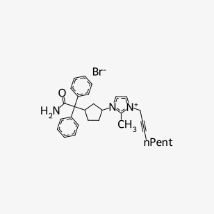 CCCCCC#CC[n+]1ccn(C2CCC(C(C(N)=O)(c3ccccc3)c3ccccc3)C2)c1C.[Br-]